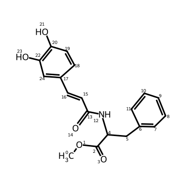 COC(=O)C(Cc1ccccc1)NC(=O)C=Cc1ccc(O)c(O)c1